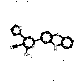 N#Cc1c(-c2ccco2)cc(-c2ccc3c(c2)Nc2ccccc2S3)nc1N